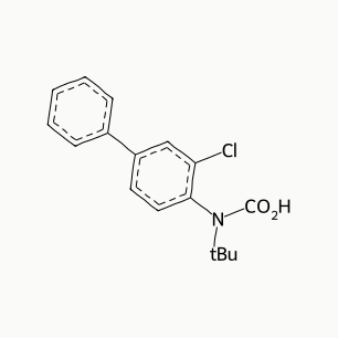 CC(C)(C)N(C(=O)O)c1ccc(-c2ccccc2)cc1Cl